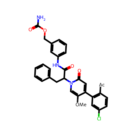 COc1cn(C(Cc2ccccc2)C(=O)Nc2cccc(COC(N)=O)c2)c(=O)cc1-c1cc(Cl)ccc1C(C)=O